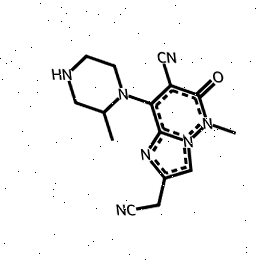 CC1CNCCN1c1c(C#N)c(=O)n(C)n2cc(CC#N)nc12